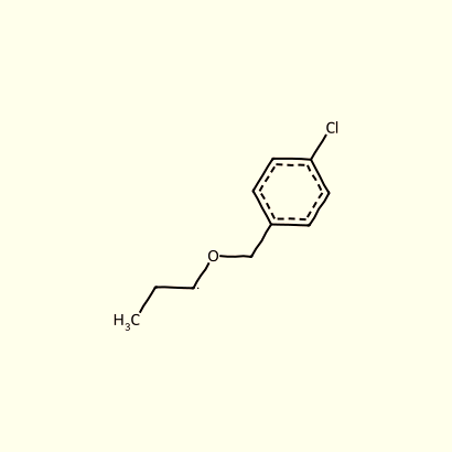 CC[CH]OCc1ccc(Cl)cc1